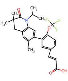 Cc1cc2c(cc1-c1cc(/C=C/C(=O)O)ccc1OC(F)(F)F)N(C(C)C)C(=O)C(C)(C)C2